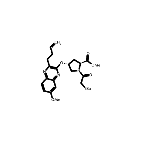 C=CCCc1nc2ccc(OC)cc2nc1O[C@@H]1C[C@@H](C(=O)OC)N(C(=O)CC(C)(C)C)C1